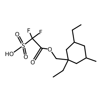 CCC1CC(C)CC(CC)(COC(=O)C(F)(F)S(=O)(=O)O)C1